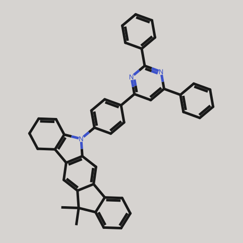 CC1(C)c2ccccc2-c2cc3c(cc21)c1c(n3-c2ccc(-c3cc(-c4ccccc4)nc(-c4ccccc4)n3)cc2)C=CCC1